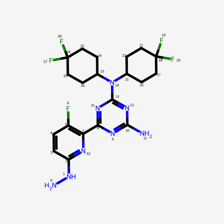 NNc1ccc(F)c(-c2nc(N)nc(N(C3CCC(F)(F)CC3)C3CCC(F)(F)CC3)n2)n1